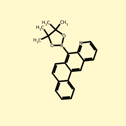 CC1(C)OB(c2c3ccc4ccccc4c3cc3cccnc23)OC1(C)C